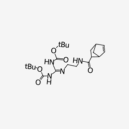 CC(C)(C)OC(=O)NC(=NCCNC(=O)C1CC2C=CC1C2)NC(=O)OC(C)(C)C